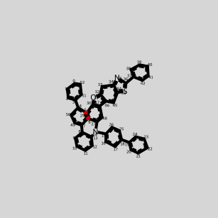 c1ccc(-c2ccc(-c3ccccc3N(c3ccc(-c4ccccc4)cc3)c3ccc4oc5cc6nc(-c7ccccc7)sc6cc5c4c3)cc2)cc1